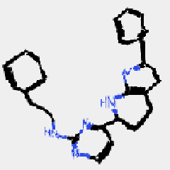 c1ccc(CCNc2nccc(C3CCc4ccc(-c5ccccc5)nc4N3)n2)cc1